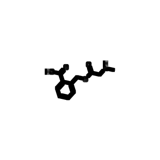 CNCC(=O)OCc1ccccc1C(=O)O